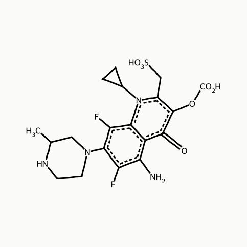 CC1CN(c2c(F)c(N)c3c(=O)c(OC(=O)O)c(CS(=O)(=O)O)n(C4CC4)c3c2F)CCN1